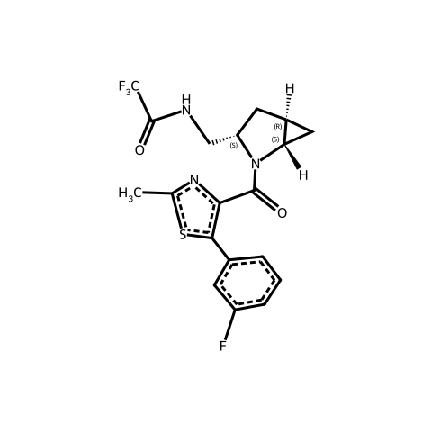 Cc1nc(C(=O)N2[C@H](CNC(=O)C(F)(F)F)C[C@H]3C[C@@H]32)c(-c2cccc(F)c2)s1